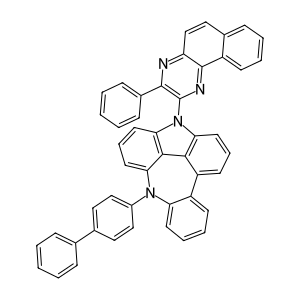 c1ccc(-c2ccc(-n3c4ccccc4c4cccc5c4c4c3cccc4n5-c3nc4c(ccc5ccccc54)nc3-c3ccccc3)cc2)cc1